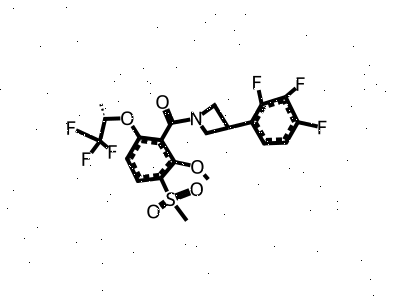 COc1c(S(C)(=O)=O)ccc(O[C@@H](C)C(F)(F)F)c1C(=O)N1CC(c2ccc(F)c(F)c2F)C1